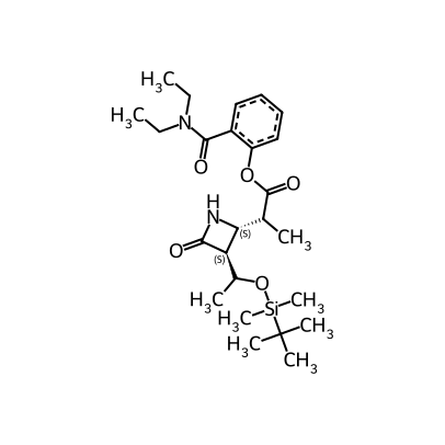 CCN(CC)C(=O)c1ccccc1OC(=O)C(C)[C@H]1NC(=O)[C@@H]1C(C)O[Si](C)(C)C(C)(C)C